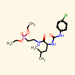 CCOP(=O)(CCNC(=O)C(CC(C)C)NC(=O)Nc1ccc(Br)cc1)OCC